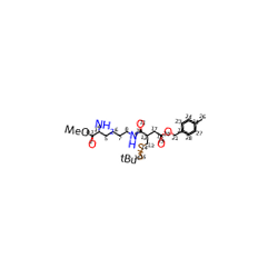 COC(=O)[C@@H](N)CCCCNC(=O)C(CSSC(C)(C)C)CC(=O)OCc1ccc(C)cc1